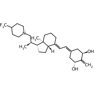 C=C1[C@H](O)CC(=C/C=C2\CCC[C@]3(C)[C@@H]([C@@H](C)CN4CCC(C(F)(F)F)CC4)CC[C@@H]23)C[C@H]1O